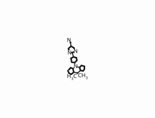 CC1(C)c2ccccc2N(c2ccc(-c3ncc(C#N)cn3)cc2)c2ccccc21